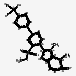 CCS(=O)(=O)c1cc(-c2ccc(C(F)(F)F)cc2)cnc1-c1nc2ccc(=O)n(C)c2n1C